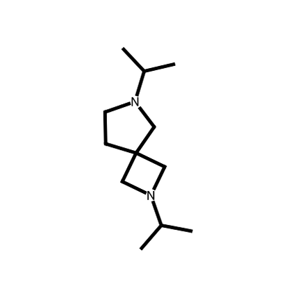 CC(C)N1CCC2(C1)CN(C(C)C)C2